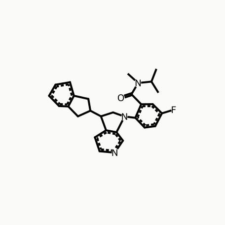 CC(C)N(C)C(=O)c1cc(F)ccc1N1CC(C2Cc3ccccc3C2)c2ccncc21